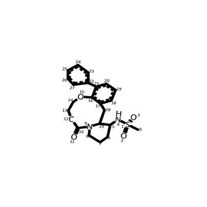 CS(=O)(=O)NC1CCCN2C(=O)CCCOc3c(cccc3-c3ccccc3)CC12